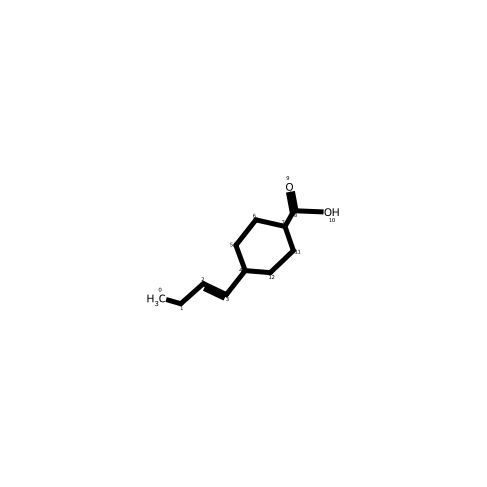 CC/C=C/C1CCC(C(=O)O)CC1